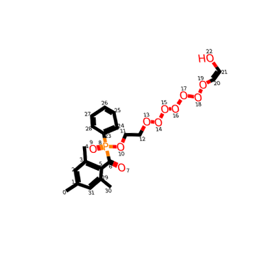 Cc1cc(C)c(C(=O)P(=O)(OCCOOOOOOO/C=C\O)c2ccccc2)c(C)c1